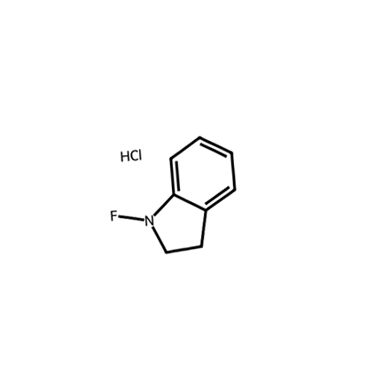 Cl.FN1CCc2ccccc21